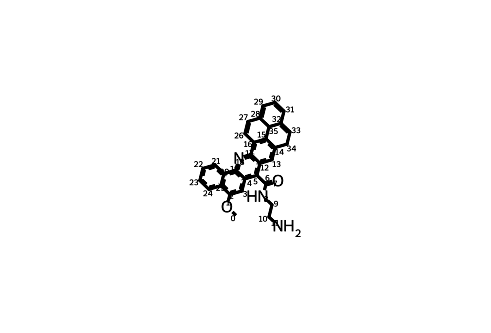 COc1cc2c(C(=O)NCCN)c3cc4c5c(c3nc2c2ccccc12)C=CC1=CC=CC(=CC4)C15